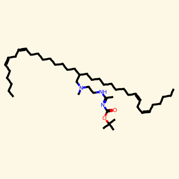 CCCCC/C=C\C/C=C\CCCCCCCCC(CCCCCCCC/C=C\C/C=C\CCCCC)CN(C)CCN/C(C)=N/C(=O)OC(C)(C)C